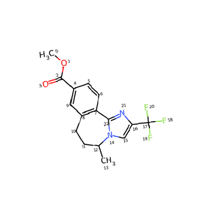 COC(=O)c1ccc2c(c1)CCC(C)n1cc(C(F)(F)F)nc1-2